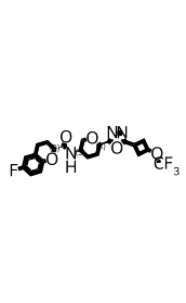 O=C(N[C@H]1CC[C@H](c2nnc(C3CC(OC(F)(F)F)C3)o2)OC1)[C@H]1CCc2cc(F)ccc2O1